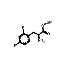 CC(C)(C)OC(=O)C(N)Cc1ccc(F)cc1F